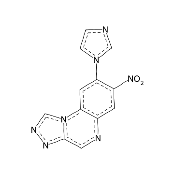 O=[N+]([O-])c1cc2ncc3nncn3c2cc1-n1ccnc1